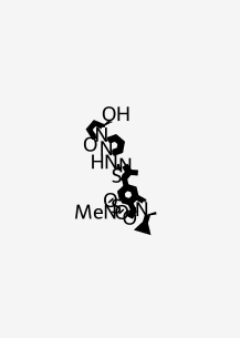 CNS(=O)(=O)c1cc(-c2sc(Nc3cccc(N4C(=O)CC[C@H]4CO)n3)nc2C)cc2c1C(=O)N([C@@H](C)C1CC1)C2